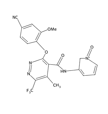 COc1cc(C#N)ccc1Oc1nnc(C(F)(F)F)c(C)c1C(=O)NC1=CC=C[N+](=O)C1